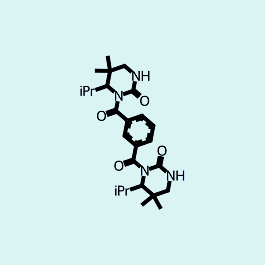 CC(C)C1N(C(=O)c2cccc(C(=O)N3C(=O)NCC(C)(C)C3C(C)C)c2)C(=O)NCC1(C)C